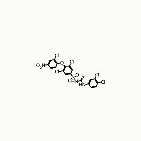 O=[N+]([O-])c1ccc(Oc2c(Cl)cc(S(=O)(=O)NC(=S)Nc3ccc(Cl)c(Cl)c3)cc2Cl)c(Cl)c1